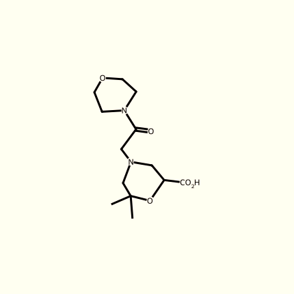 CC1(C)CN(CC(=O)N2CCOCC2)CC(C(=O)O)O1